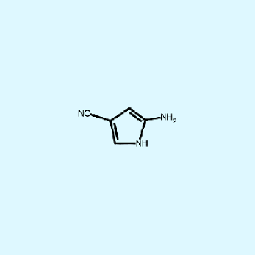 N#Cc1c[nH]c(N)c1